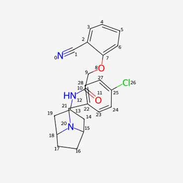 N#Cc1ccccc1OCC(=O)NC1CC2CCC(C1)N2Cc1ccc(Cl)cc1